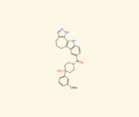 COc1cccc(C2(O)CCN(C(=O)c3ccc4[nH]c5c(c4c3)CCCc3cn[nH]c3-5)CC2)c1